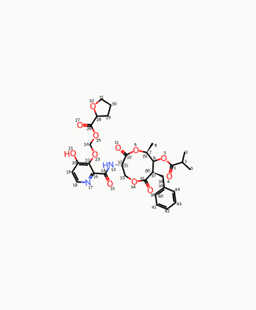 CC(C)C(=O)OC1[C@H](C)OC(=O)[C@@H](NC(=O)c2nccc(O)c2OCOC(=O)C2CCCO2)COC(=O)[C@@H]1Cc1ccccc1